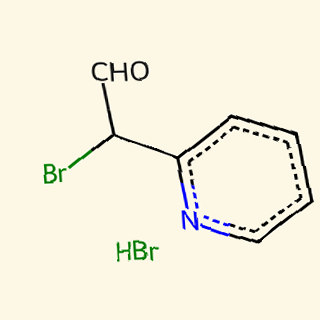 Br.O=CC(Br)c1ccccn1